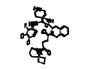 O=C(CCC(=O)N1CCCC12CCC2)N1Cc2ccccc2CC1CNC1(C(=O)Nc2ccc(Cl)c(Cl)c2F)CCNCC1